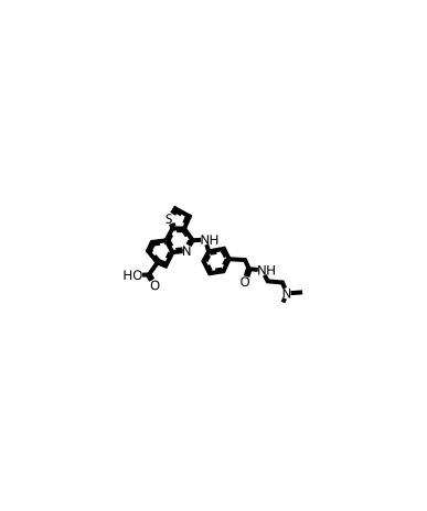 CN(C)CCNC(=O)Cc1cccc(Nc2nc3cc(C(=O)O)ccc3c3sccc23)c1